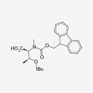 C[C@H](OC(C)(C)C)[C@@H](C(=O)O)N(C)C(=O)OCC1c2ccccc2-c2ccccc21